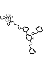 CC(C)(C)OC(=O)CCCOc1cccc(-c2ccc(OCc3ccccc3)nc2OCc2ccccc2)c1